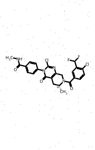 CNC(=O)c1ccc(-n2c(Cl)nc3c(c2=O)C[C@@H](C)N(C(=O)c2ccc(Cl)c(C(F)F)c2)C3)cc1